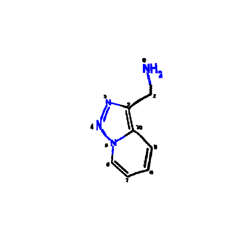 NCc1nnn2ccccc12